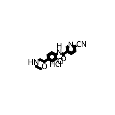 Cl.N#Cc1ccc(C(=O)Nc2ccc(C3CNCCO3)cc2Cl)cn1